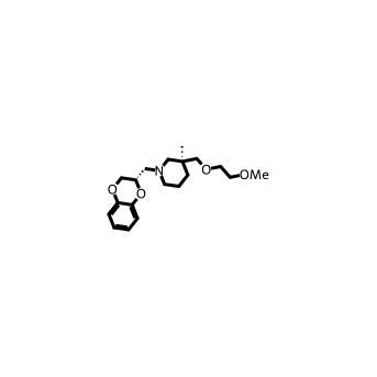 COCCOC[C@@]1(C)CCCN(C[C@H]2COc3ccccc3O2)C1